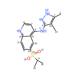 Cc1[nH]nc(Nc2ccnc3ccc(S(=O)(=O)C(C)C)cc23)c1C